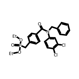 CCOP(=O)(Cc1ccc(C(=O)N(Cc2ccccc2)c2ccc(Cl)c(Cl)c2)cc1)OCC